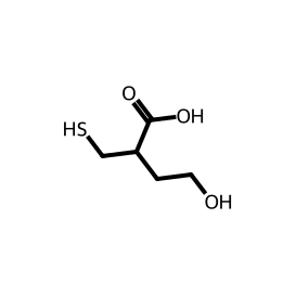 O=C(O)C(CS)CCO